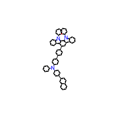 c1ccc(N(c2ccc(-c3ccc(-c4cc5c6ccccc6n(-c6ccccc6)c5c5c4c4ccccc4n5-c4ccccc4)cc3)cc2)c2ccc(-c3ccc4ccccc4c3)cc2)cc1